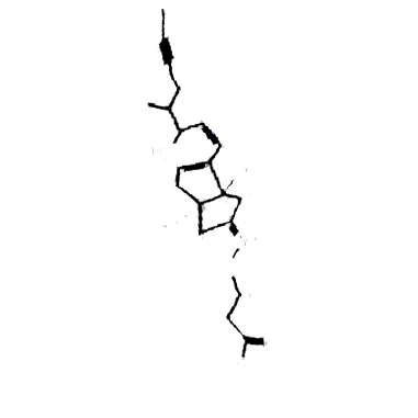 CC#CCC(C)C(O)/C=C\C1=CC[C@@H]2C/C(=N\OCCC(=O)O)C[C@@H]12